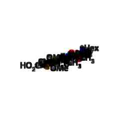 CCCCCCN1/C(=C/C2=C([O-])C(=C\C3=[N+](CCCCCC)c4ccc(-c5cc6c(OC)c7sc(/C=C(\C#N)C(=O)O)cc7c(OC)c6s5)cc4C3(C)C)/C2=O)C(C)(C)c2ccccc21